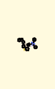 c1ccc(-c2nc(-c3ccccc3)nc(-c3cccc(-c4cccc5sc6ccc(-c7ccc8ccc9ccccc9c8c7)cc6c45)c3)n2)cc1